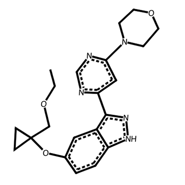 CCOCC1(Oc2ccc3[nH]nc(-c4cc(N5CCOCC5)ncn4)c3c2)CC1